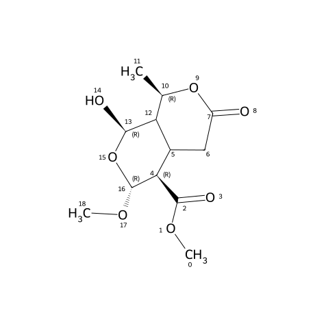 COC(=O)[C@@H]1C2CC(=O)O[C@H](C)C2[C@H](O)O[C@H]1OC